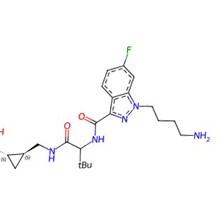 CC(C)(C)C(NC(=O)c1nn(CCCCN)c2cc(F)ccc12)C(=O)NC[C@H]1C[C@@H]1CO